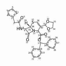 O=C(Cc1cccs1)NC1C(=O)N2C(C(=O)OC(c3ccccc3)c3ccccc3)C(C3OCCO3)=CS[C@@H]12